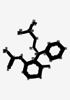 Cc1cccc(OC(=O)C(C)C)c1[C@H](CCN(C(C)C)C(C)C)c1ccccc1